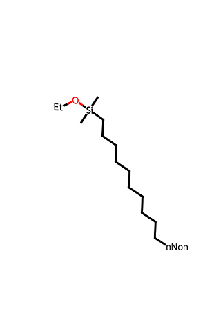 CCCCCCCCCCCCCCCCCCC[Si](C)(C)OCC